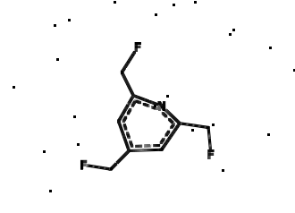 FCc1cc(CF)nc(CF)c1